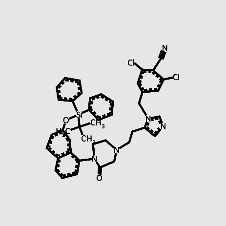 CC(C)(C)[Si](Oc1ccc2cccc(N3CCN(CCc4cncn4Cc4cc(Cl)c(C#N)c(Cl)c4)CC3=O)c2c1)(c1ccccc1)c1ccccc1